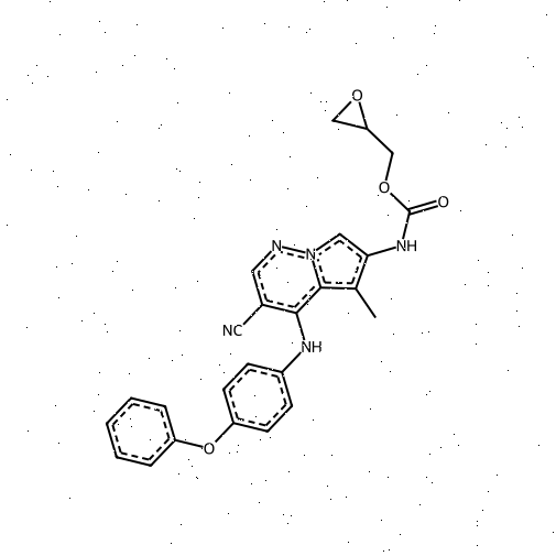 Cc1c(NC(=O)OCC2CO2)cn2ncc(C#N)c(Nc3ccc(Oc4ccccc4)cc3)c12